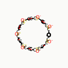 [O-][S+]1Cc2ccc(cc2)C[S+]([O-])Cc2ccc(cc2)C[S@+]([O-])Cc2ccc(cc2)C[S+]([O-])Cc2ccc(cc2)C[S+]([O-])Cc2ccc(cc2)C[S@@+]([O-])Cc2ccc(cc2)C[S+]([O-])Cc2ccc(cc2)C1